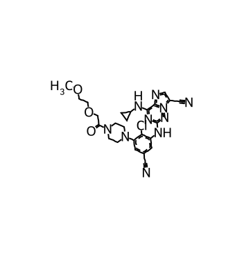 COCCOCC(=O)N1CCN(c2cc(C#N)cc(Nc3nc(NC4CC4)c4ncc(C#N)n4n3)c2Cl)CC1